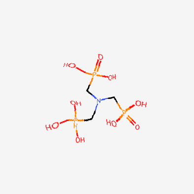 O=P(O)(O)CN(CP(=O)(O)O)C[PH](O)(O)O